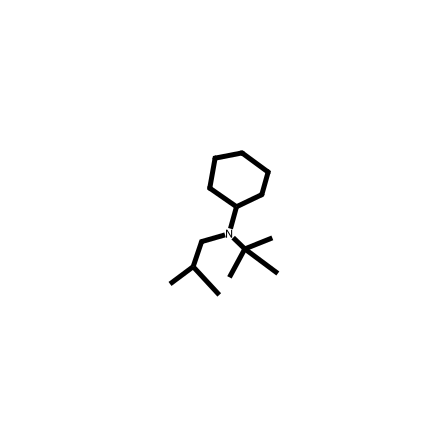 CC(C)CN(C1CCCCC1)C(C)(C)C